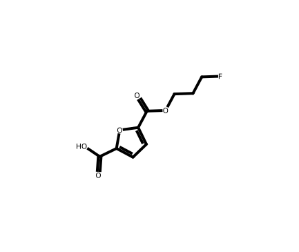 O=C(O)c1ccc(C(=O)OCCCF)o1